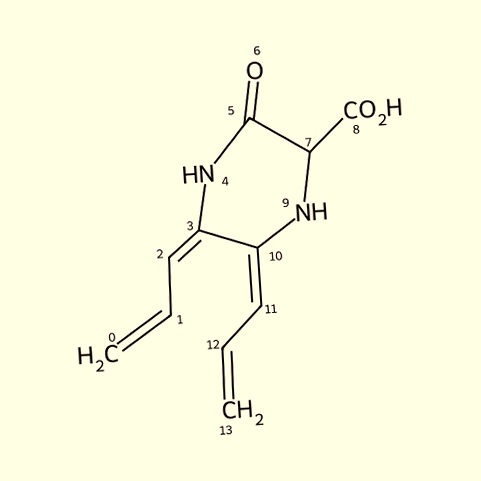 C=C/C=C1/NC(=O)C(C(=O)O)N/C1=C/C=C